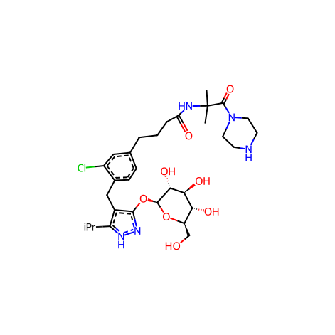 CC(C)c1[nH]nc(O[C@@H]2O[C@H](CO)[C@@H](O)[C@H](O)[C@H]2O)c1Cc1ccc(CCCC(=O)NC(C)(C)C(=O)N2CCNCC2)cc1Cl